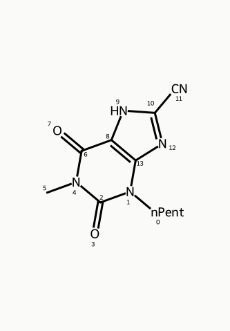 CCCCCn1c(=O)n(C)c(=O)c2[nH]c(C#N)nc21